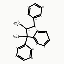 CSC(c1ccccc1)(c1ccccc1)C(Cc1ccccc1)C(=O)O